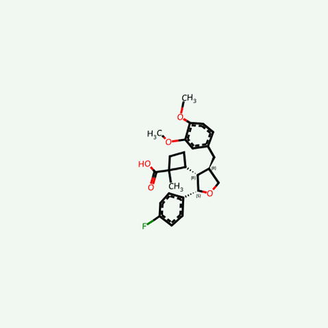 COc1ccc(C[C@H]2CO[C@H](c3ccc(F)cc3)[C@@H]2C2CCC2(C)C(=O)O)cc1OC